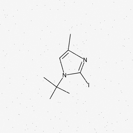 Cc1cn(C(C)(C)C)c(I)n1